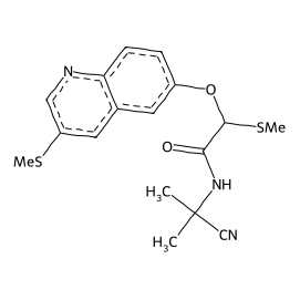 CSc1cnc2ccc(OC(SC)C(=O)NC(C)(C)C#N)cc2c1